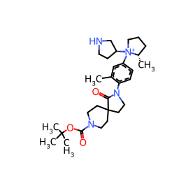 Cc1cc([N+]2([C@H]3CCNC3)CCC[C@@H]2C)ccc1N1CCC2(CCN(C(=O)OC(C)(C)C)CC2)C1=O